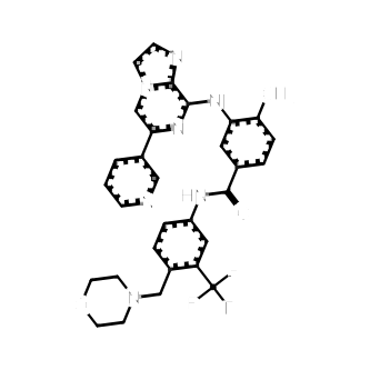 Cc1ccc(C(=O)Nc2ccc(CN3CCOCC3)c(C(F)(F)F)c2)cc1Nc1nc(-c2cccnc2)cn2ccnc12